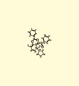 CC1=C(OC(=O)c2ccccc2)C(OC(=O)c2ccccc2)C(C)(C2CCCC2)C=C1